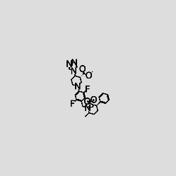 COC(=O)[C@@H]1CN(c2cc(F)c(CN3[C@H](C)CC[C@H](c4ccccc4)S3(=O)=O)cc2F)CC[C@H]1n1cnnc1